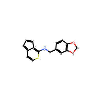 c1cc2ccsc(NCc3ccc4c(c3)OCO4)c-2c1